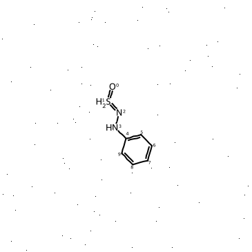 O=[SH2]=NNc1ccccc1